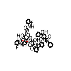 O=C(Nc1ccccc1F)OCC1O[C@@H](OC2[C@@H](COC(=O)Nc3ccccc3F)O[C@@H](Oc3cccc(-c4ccc([C@H]5N(c6ccccc6)C(=O)C56CCC(O)(c5ccccc5)CC6)c(O)c4)c3)[C@H](O)[C@H]2O)[C@H](O)[C@@H](O)[C@@H]1O